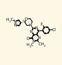 Cc1nc2c(-c3ccc(Cl)cc3F)nc(N3CCO[C@@H](c4cnn(C)c4)C3)nc2c(=O)n1C